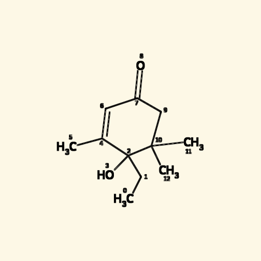 CCC1(O)C(C)=CC(=O)CC1(C)C